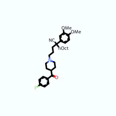 CCCCCCCCC(C#N)(CCCN1CCC(C(=O)c2ccc(F)cc2)CC1)c1ccc(OC)c(OC)c1